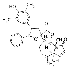 Cc1cc(C2CC3(ON2c2ccccc2)C(=O)O[C@@H]2[C@H]3CC[C@H](C)[C@]3(O)C=CC(=O)[C@@]23C)cc(C)c1O